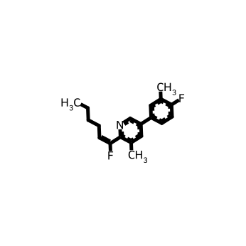 CCCC/C=C(/F)c1ncc(-c2ccc(F)c(C)c2)cc1C